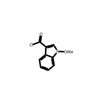 COn1cc(C(=O)Cl)c2ccccc21